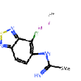 CSC(=N)Nc1ccc2nsnc2c1Cl.I.[H+].[I-]